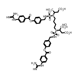 Cl.N=C(N)Nc1ccc(C(=O)Oc2ccc(CNS(=O)(=O)N(CCCCN(C(CC(=O)O)C(=O)O)S(=O)(=O)NCc3ccc(OC(=O)c4ccc(NC(=N)N)cc4)cc3)C(CC(=O)O)C(=O)O)cc2)cc1